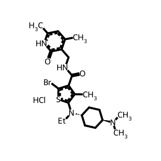 CCN(c1sc(Br)c(C(=O)NCc2c(C)cc(C)[nH]c2=O)c1C)[C@H]1CC[C@H](N(C)C)CC1.Cl